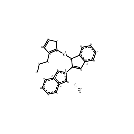 CCCC1=[C]([Zr+2][CH]2C(n3cc4ccccc4c3)=Cc3ccccc32)CC=C1.[Cl-].[Cl-]